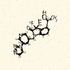 C[C@H](O)c1cccc2c1C(F)(F)C(=O)N2Cc1cncc(-n2ccnn2)c1